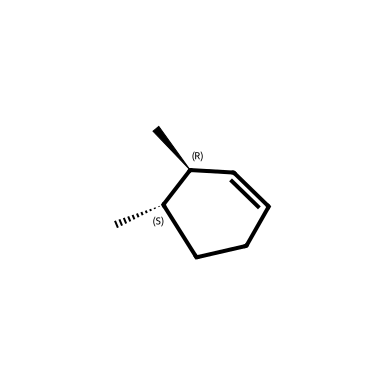 C[C@H]1C=CCC[C@@H]1C